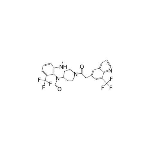 CNc1cccc(C(F)(F)F)c1N(C=O)C1CCN(C(=O)Cc2cc(C(F)(F)F)c3ncccc3c2)CC1